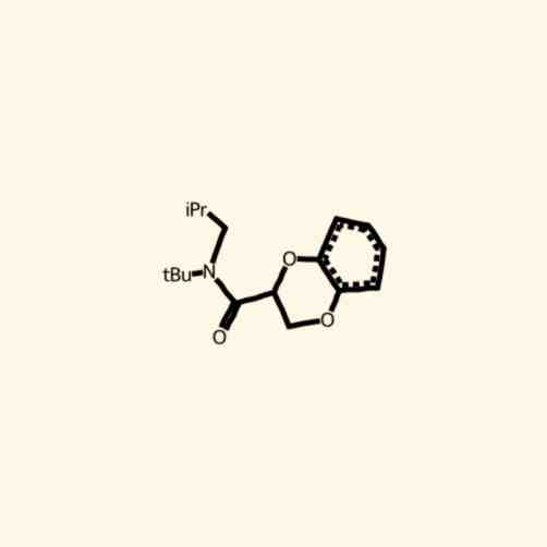 CC(C)CN(C(=O)C1COc2ccccc2O1)C(C)(C)C